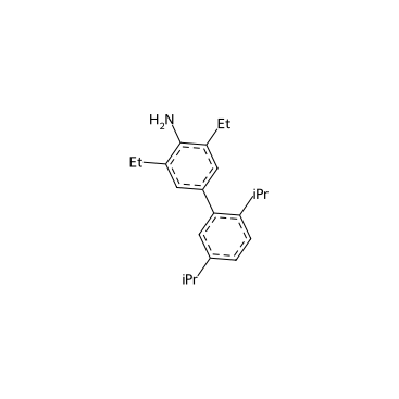 CCc1cc(-c2cc(C(C)C)ccc2C(C)C)cc(CC)c1N